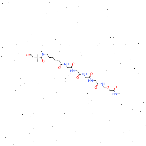 CNC(=O)COCNC(=O)CNC(=O)CNC(=O)CNC(=O)CNC(=O)CCCCCN(C)C(=O)C(C)(C)CC=O